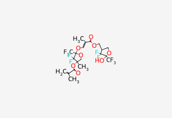 C=C(C)C(=O)OC1(C)COC(O/C=C(\C)C(=O)OCC2COC(O)(C(F)(F)F)C2(F)F)(C(F)(F)F)C1(F)F